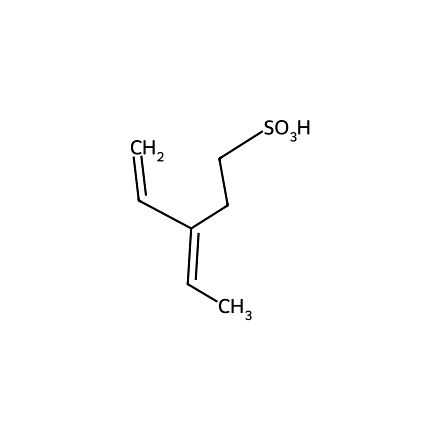 C=C/C(=C/C)CCS(=O)(=O)O